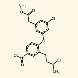 COC(=O)Cc1cc(Cl)cc(Oc2ccc([N+](=O)[O-])cc2CSC(C)C)c1